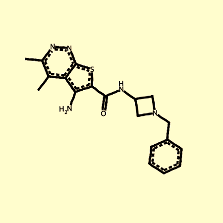 Cc1nnc2sc(C(=O)NC3CN(Cc4ccccc4)C3)c(N)c2c1C